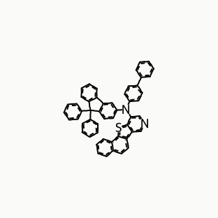 c1ccc(-c2ccc(N(c3ccc4c(c3)-c3ccccc3C4(c3ccccc3)c3ccccc3)c3cncc4c3sc3c5ccccc5ccc43)cc2)cc1